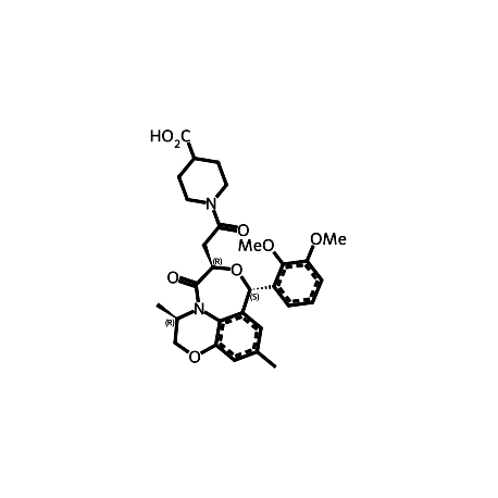 COc1cccc([C@H]2O[C@H](CC(=O)N3CCC(C(=O)O)CC3)C(=O)N3c4c(cc(C)cc42)OC[C@H]3C)c1OC